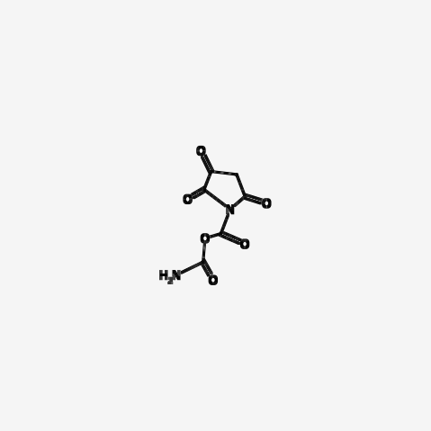 NC(=O)OC(=O)N1C(=O)CC(=O)C1=O